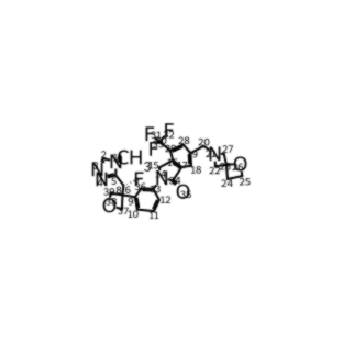 Cn1cnnc1[C@H](F)C1(c2cccc(N3Cc4c(cc(CN5CC6(CCO6)C5)cc4C(F)(F)F)C3=O)c2)COC1